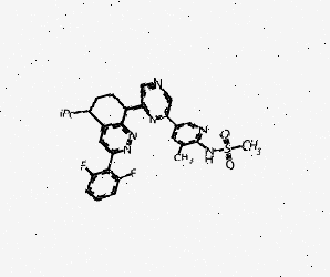 Cc1cc(-c2cncc(C3CCC(C(C)C)c4cc(-c5c(F)cccc5F)nnc43)n2)cnc1NS(C)(=O)=O